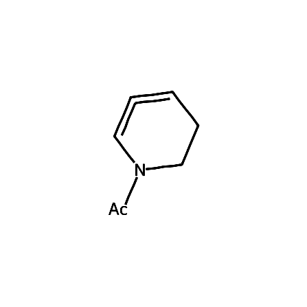 CC(=O)N1C=C=CCC1